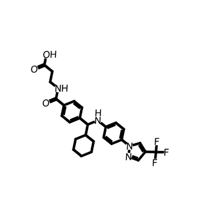 O=C(O)CCNC(=O)c1ccc(C(Nc2ccc(-n3cc(C(F)(F)F)cn3)cc2)C2CCCCC2)cc1